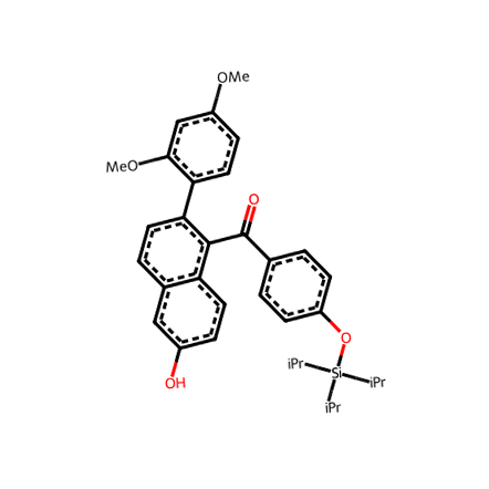 COc1ccc(-c2ccc3cc(O)ccc3c2C(=O)c2ccc(O[Si](C(C)C)(C(C)C)C(C)C)cc2)c(OC)c1